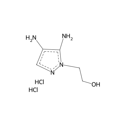 Cl.Cl.Nc1cnn(CCO)c1N